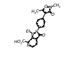 CCn1c2c(C(=O)O)nccc2c(=O)n1-c1ccc(-c2c(C)on(C)c2=O)cc1